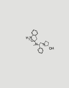 CN(C(=O)Cc1ccccc1N)C(CN1CC[C@H](O)C1)c1ccccc1